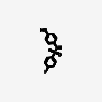 O=S(=O)(Nc1ccc(O)cc1)c1ccc(F)cc1